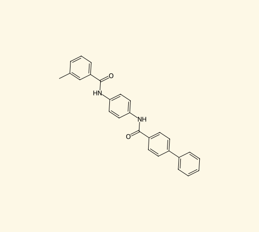 Cc1cccc(C(=O)Nc2ccc(NC(=O)c3ccc(-c4ccccc4)cc3)cc2)c1